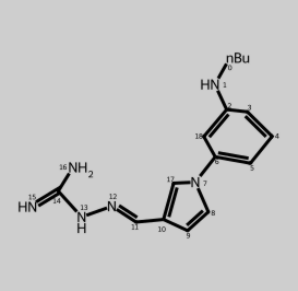 CCCCNc1cccc(-n2ccc(C=NNC(=N)N)c2)c1